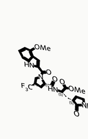 COC(=O)[C@H](C[C@@H]1CCNC1=O)NC(=O)[C@@H]1C[C@@H](C(F)(F)F)CN1C(=O)c1cc2c(OC)cccc2[nH]1